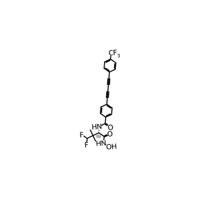 CC(C)(C(F)F)[C@H](NC(=O)c1ccc(C#CC#Cc2ccc(C(F)(F)F)cc2)cc1)C(=O)NO